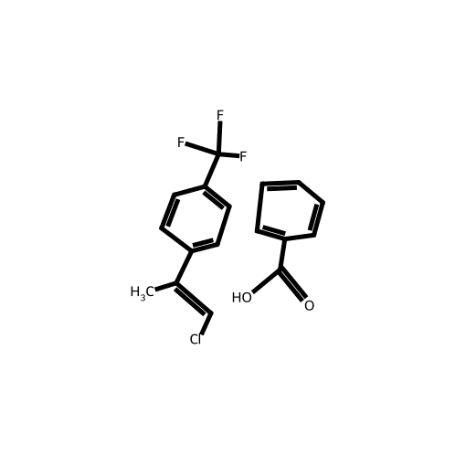 CC(=CCl)c1ccc(C(F)(F)F)cc1.O=C(O)c1ccccc1